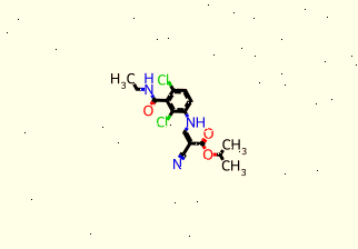 CCNC(=O)c1c(Cl)ccc(NC=C(C#N)C(=O)OC(C)C)c1Cl